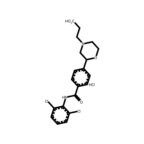 Cl.O=C(O)CCN1CCOC(c2ccc(C(=O)Nc3c(Cl)cccc3Cl)cc2)C1